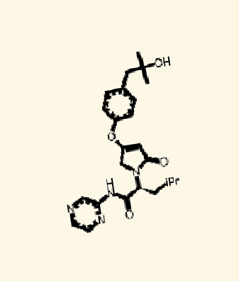 CC(C)C[C@@H](C(=O)Nc1cnccn1)N1CC(Oc2ccc(CC(C)(C)O)cc2)=CC1=O